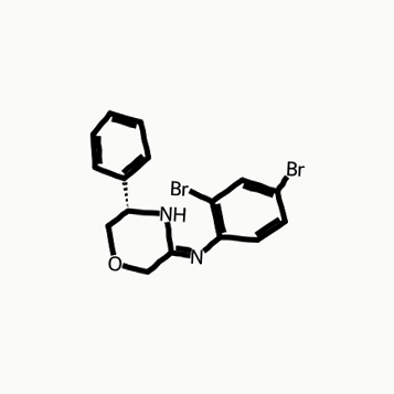 Brc1ccc(/N=C2/COC[C@H](c3ccccc3)N2)c(Br)c1